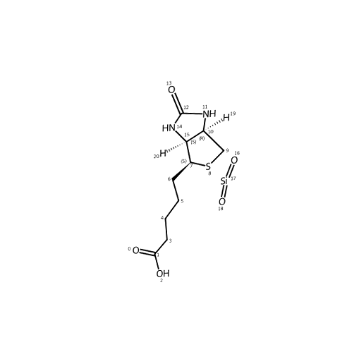 O=C(O)CCCC[C@@H]1SC[C@@H]2NC(=O)N[C@@H]21.O=[Si]=O